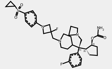 NC(=O)O[C@H]1CCC[C@@H]1[C@](CN1CCC1)(c1cccc(F)c1)C1CCN(CC2(F)CN(c3ccc(S(=O)(=O)C4CC4)cc3)C2)CC1